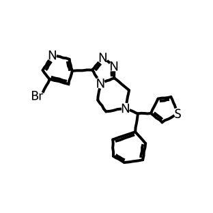 Brc1cncc(-c2nnc3n2CCN(C(c2ccccc2)c2ccsc2)C3)c1